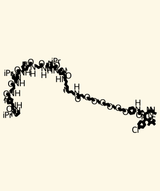 Cc1sc2c(c1C)C(c1ccc(Cl)cc1)=N[C@@H](CC(=O)Nc1ccc(OCCOCCOCCOCCOCCOCCC(=O)NCCCN(C)CCCNC(=O)c3cc(NC(=O)c4nc(NC(=O)CCNC(=O)c5cc(NC(=O)c6nc(NC(=O)CCNC(=O)c7cc(NC(=O)c8nccn8C(C)C)cn7C)cn6C(C)C)cn5C)cn4C(C)C)cn3C)cc1)c1nnc(C)n1-2